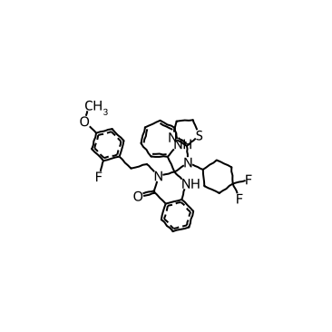 COc1ccc(CCN2C(=O)c3ccccc3NC2(C2=CC=CC=CN2)N(C2=NCCS2)C2CCC(F)(F)CC2)c(F)c1